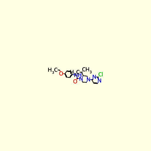 CCOc1ccc(NC(=O)N2CCN(c3ccnc(Cl)n3)CC2C(C)C)cc1